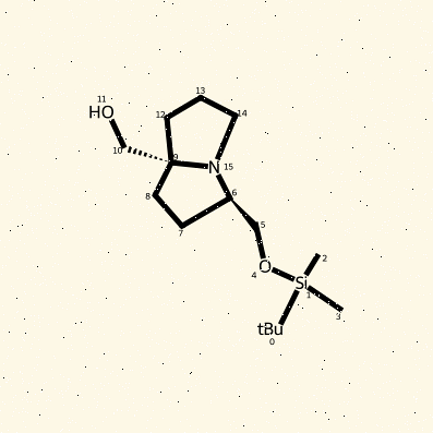 CC(C)(C)[Si](C)(C)OC[C@H]1CC[C@@]2(CO)CCCN12